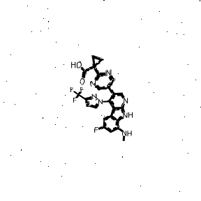 CNc1cc(F)cc2c1[nH]c1ncc(-c3cnc(C4(C(=O)O)CC4)nc3)c(-n3ccc(C(F)(F)F)n3)c12